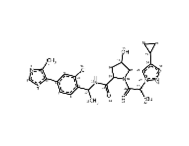 Cc1ncsc1-c1ccc(C(C)NC(=O)C2CC(O)CN2C(=O)C(n2cc(C3CC3)nn2)C(C)(C)C)c(Cl)c1